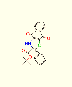 CC(C)(C)OC(=O)C(Cc1ccccc1)NC1=C(Cl)C(=O)c2ccccc2C1=O